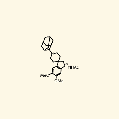 COc1cc2c(cc1OC)C1(CCN(C3C4CC5CC(C4)CC3C5)CC1)C[C@@H]2NC(C)=O